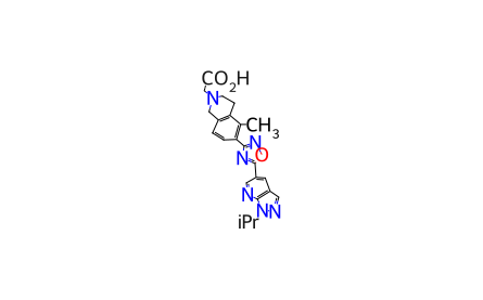 Cc1c(-c2noc(-c3cnc4c(cnn4C(C)C)c3)n2)ccc2c1CCN(CC(=O)O)C2